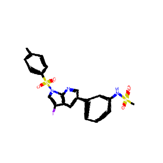 Cc1ccc(S(=O)(=O)n2cc(I)c3cc(-c4cccc(NS(C)(=O)=O)c4)cnc32)cc1